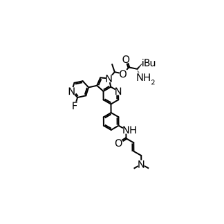 CC[C@H](C)[C@H](N)C(=O)OC(C)n1cc(-c2ccnc(F)c2)c2cc(-c3cccc(NC(=O)/C=C/CN(C)C)c3)cnc21